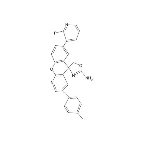 Cc1ccc(-c2cnc3c(c2)C2(COC(N)=N2)c2cc(-c4cccnc4F)ccc2O3)cc1